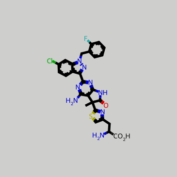 CC1(c2nc(CC(N)C(=O)O)cs2)C(=O)Nc2nc(-c3nn(Cc4ccccc4F)c4cc(Cl)ccc34)nc(N)c21